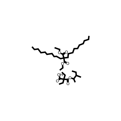 CCC(C)C(C)OC(=O)C(CC)(CC)C(=O)O.CCCCCCCCCCC(CCCCCCCCCC)(C(=O)OCC)C(=O)OCC